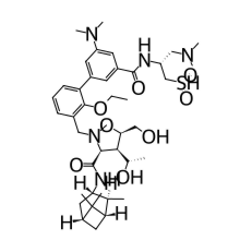 CCOc1c(CN2O[C@@H](CO)[C@@H]([C@H](C)O)[C@H]2C(=O)N[C@H]2C[C@H]3C[C@@H]([C@@H]2C)C3(C)C)cccc1-c1cc(C(=O)N[C@H](CN(C)C)C[SH](=O)=O)cc(N(C)C)c1